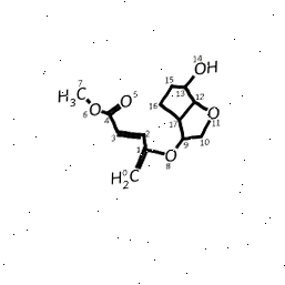 C=C(/C=C/C(=O)OC)OC1COC2C(O)CCC12